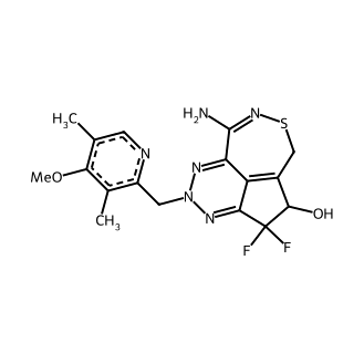 COc1c(C)cnc(CN2N=C3C(N)=NSCC4=C3C(=N2)C(F)(F)C4O)c1C